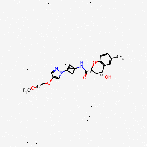 O=C(NC12CC(n3cc(OCCOC(F)(F)F)cn3)(C1)C2)[C@H]1C[C@@H](O)c2cc(C(F)(F)F)ccc2O1